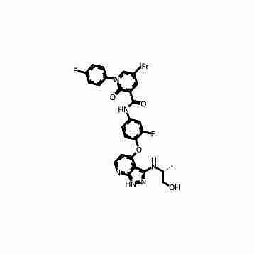 CC(C)c1cc(C(=O)Nc2ccc(Oc3ccnc4[nH]nc(N[C@H](C)CO)c34)c(F)c2)c(=O)n(-c2ccc(F)cc2)c1